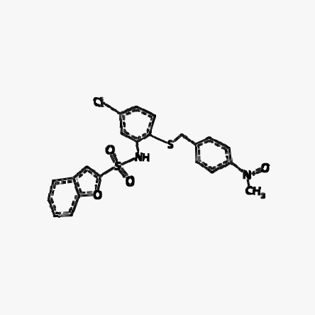 C[N+](=O)c1ccc(CSc2ccc(Cl)cc2NS(=O)(=O)c2cc3ccccc3o2)cc1